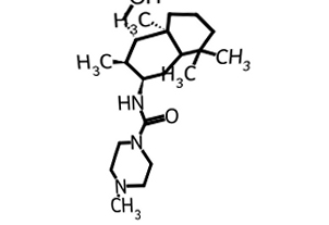 C[C@@H]1[C@H](NC(=O)N2CCN(C)CC2)CC2C(C)(C)CCC[C@]2(C)[C@H]1CO